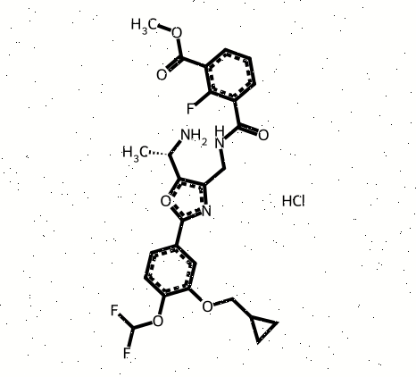 COC(=O)c1cccc(C(=O)NCc2nc(-c3ccc(OC(F)F)c(OCC4CC4)c3)oc2[C@H](C)N)c1F.Cl